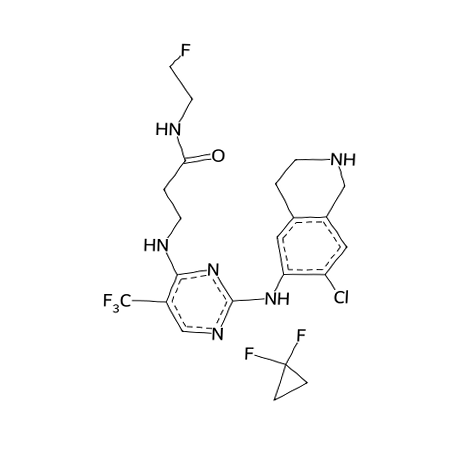 FC1(F)CC1.O=C(CCNc1nc(Nc2cc3c(cc2Cl)CNCC3)ncc1C(F)(F)F)NCCF